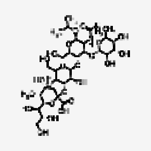 CC(=O)NC1[C@H](OC(C)C)OC(CO)[C@@H](O[C@@H]2OC(CO)[C@H](O)C(O[C@]3(C(=O)O)C[C@@H](O)[C@@H](C)C([C@H](O)[C@H](O)CO)O3)C2O)[C@@H]1O[C@@H]1OC(C)[C@@H](O)[C@H](O)C1O